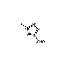 Cc1cn(C=O)cn1